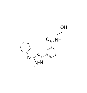 Cn1nc(-c2cccc(C(=O)NCCO)c2)sc1=NC1CCCCC1